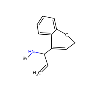 C=CC(NC(C)C)C1=CCCc2ccccc21